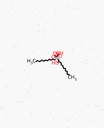 CCCCCCCCCCC(O)CN(CC(O)CCCCCCCCCC)C(CO)C(=O)O